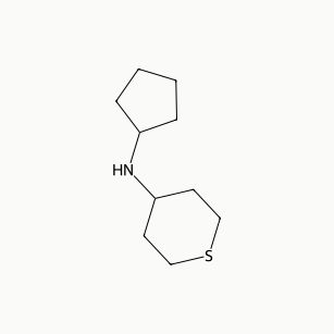 C1CCC(NC2CCSCC2)C1